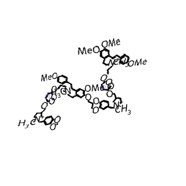 COc1ccc(CC2c3cc(OC)c(OC)cc3CC[N+]2(C)CCCOC(=O)/C=C\C(=O)OCC2CC[N+](C)(Cc3ccc4c(c3)OCC(COc3cc5c(cc3OC)C(Cc3ccc(OC)cc3)[N+](C)(CCCOC(=O)/C=C\C(=O)OCC3CC[N+](C)(Cc6ccc7c(c6)OCO7)C3)CC5)O4)C2)cc1